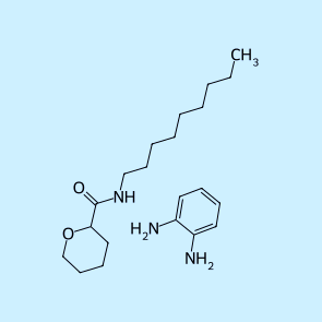 CCCCCCCCCNC(=O)C1CCCCO1.Nc1ccccc1N